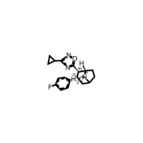 CN1C2CC[C@H]1[C@H](c1nc(C3CC3)no1)[C@@H](c1ccc(F)cc1)C2